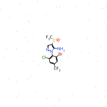 Nc1c([S+]([O-])C(F)(F)F)cnn1-c1c(Cl)cc(C(F)(F)F)cc1Br